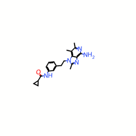 Cc1nc(N)c2nc(C)n(CCc3cccc(NC(=O)C4CC4)c3)c2c1C